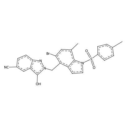 Cc1ccc(S(=O)(=O)n2ccc3c(Cn4nc5ccc(C#N)cc5c4O)c(Br)cc(C)c32)cc1